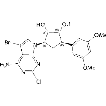 COc1cc(OC)cc([C@H]2C[C@@H](n3cc(Br)c4c(N)nc(Cl)nc43)[C@H](O)[C@@H]2O)c1